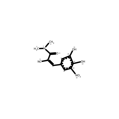 CN(C)C(=O)C(C#N)=Cc1cc(O)c(O)c([N+](=O)[O-])c1